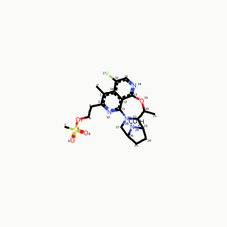 Cc1c(CCOS(C)(=O)=O)nc2c3c(ncc(F)c13)OC(C)C1C3CCC(CN21)N3C(=O)O